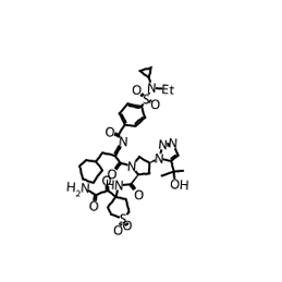 CCN(C1CC1)S(=O)(=O)c1ccc(C(=O)/N=C(\CC2CCCCC2)C(=O)N2C[C@@H](n3nncc3C(C)(C)O)C[C@H]2C(=O)NC2(C(=O)C(N)=O)CCS(=O)(=O)CC2)cc1